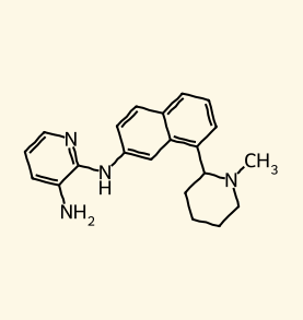 CN1CCCCC1c1cccc2ccc(Nc3ncccc3N)cc12